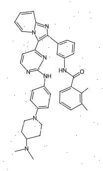 Cc1cccc(C(=O)Nc2cccc(-c3nc4ccccn4c3-c3ccnc(Nc4ccc(N5CCC(N(C)C)CC5)cc4)n3)c2)c1C